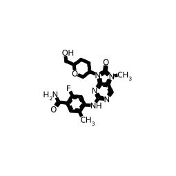 Cc1cc(C(N)=O)c(F)cc1Nc1ncc2c(n1)n(C1CCC(CO)OC1)c(=O)n2C